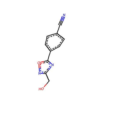 N#Cc1ccc(-c2nc(CO)no2)cc1